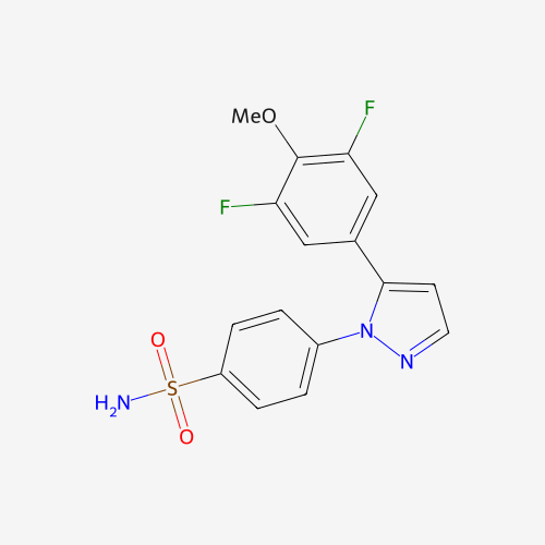 COc1c(F)cc(-c2ccnn2-c2ccc(S(N)(=O)=O)cc2)cc1F